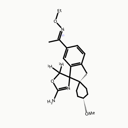 [2H]C1([2H])OC(N)=NC12c1cc(/C(C)=N/OCC)ccc1C[C@]21CC[C@@H](OC)CC1